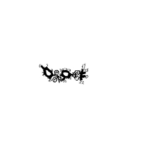 Cc1ccc(S(=O)(=O)n2ncc3cc(B4OC(C)(C)C(C)(C)O4)ccc32)cc1